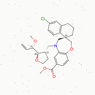 C=C[C@H](OC)[C@@H]1OCC[C@H]1CN1C[C@@]2(CCCc3cc(Cl)ccc32)COc2ccc(C(=O)OC)cc21